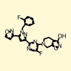 Oc1noc2c1CCN(c1nc(-c3cc(-c4ccon4)n(Cc4ccccc4F)n3)ncc1F)C2